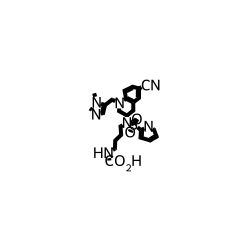 Cn1cncc1CN1CC(N(CCCCNC(=O)O)S(=O)(=O)c2ccccn2)Cc2cc(C#N)ccc21